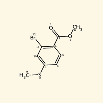 COC(=O)c1ccc(SC)cc1Br